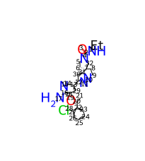 CCNC(=O)N1CC[C@@]2(CCn3nc(-c4cnc(N)c(OC(C)c5ccccc5Cl)c4)cc32)C1